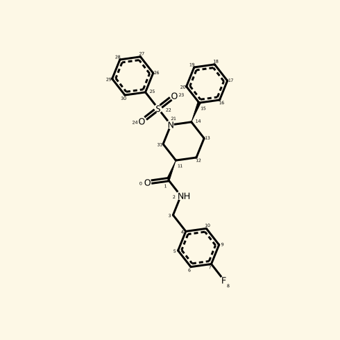 O=C(NCc1ccc(F)cc1)[C@@H]1CC[C@H](c2ccccc2)N(S(=O)(=O)c2ccccc2)C1